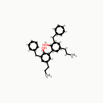 CCCc1cc(Cc2ccccc2)c(O)c(-c2cc(CCC)cc(Cc3ccccc3)c2O)c1